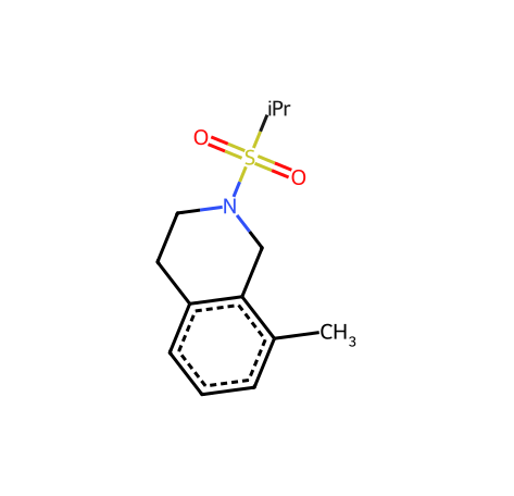 Cc1cccc2c1CN(S(=O)(=O)C(C)C)CC2